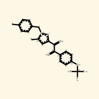 Cc1ccc(Cn2nc(C(=O)C(=O)c3ccc(OC(F)(F)F)cc3)cc2C)cc1